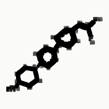 CCC[C@H]1CC[C@H](c2ccc(-c3ccc(C=C(F)F)cc3)cc2)CC1